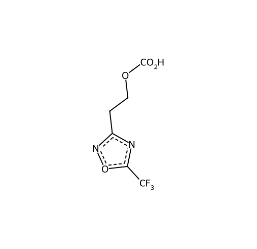 O=C(O)OCCc1noc(C(F)(F)F)n1